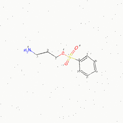 NCCCOS(=O)(=O)c1ccccc1